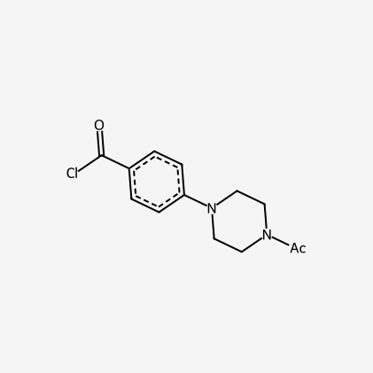 CC(=O)N1CCN(c2ccc(C(=O)Cl)cc2)CC1